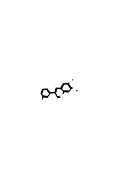 COc1cc2cc(-c3cccc(F)c3)cnc2cc1OC